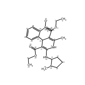 CCOC(=O)C1=C(C)NC(NC2CCCN2C)=C(C(=O)OCC)C1c1ccccc1[N+](=O)[O-]